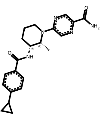 C[C@@H]1[C@H](NC(=O)c2ccc(C3CC3)cc2)CCCN1c1cnc(C(N)=O)cn1